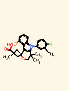 Cc1cc(-n2c3c(c4c(O)cccc42)[C@]2(C[C@@](C)(C(=O)O)C2)OCC3(C)C)ccc1F